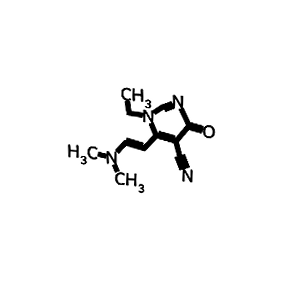 CCn1cnc(=O)c(C#N)c1/C=C/N(C)C